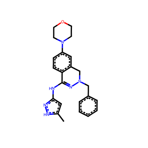 Cc1cc(NC2=NN(Cc3ccccc3)Cc3cc(N4CCOCC4)ccc32)n[nH]1